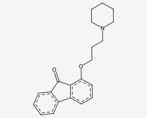 O=C1c2ccccc2-c2cccc(OCCCN3CCCCC3)c21